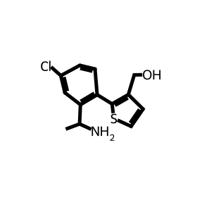 CC(N)c1cc(Cl)ccc1-c1sccc1CO